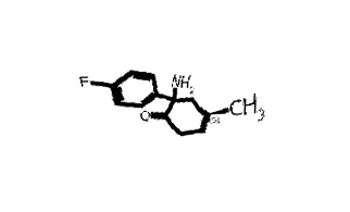 C[C@H]1CCC(=O)C(N)(c2ccc(F)cc2)C1